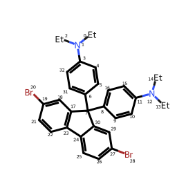 CCN(CC)c1ccc(C2(c3ccc(N(CC)CC)cc3)c3cc(Br)ccc3-c3ccc(Br)cc32)cc1